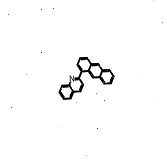 c1ccc2cc3c(-c4ccc5ccccc5n4)cccc3cc2c1